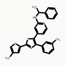 Cc1cccc(-c2nc(-c3cc(C)cs3)sc2-c2ccnc(NC(C)c3ccccc3)c2)c1